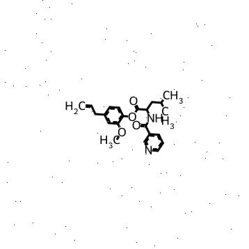 C=CCc1ccc(OC(=O)C(CC(C)C)NC(=O)c2cccnc2)c(OC)c1